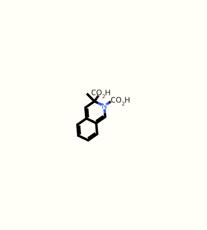 CC1(C(=O)O)C=c2ccccc2=CN1C(=O)O